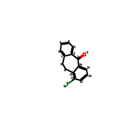 O=C1c2ccccc2CCc2c(F)cccc21